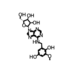 COc1cc(O)cc(CNc2ncnc3c2ncn3[C@@H]2O[C@H](CO)[C@@H](O)[C@H]2O)c1O